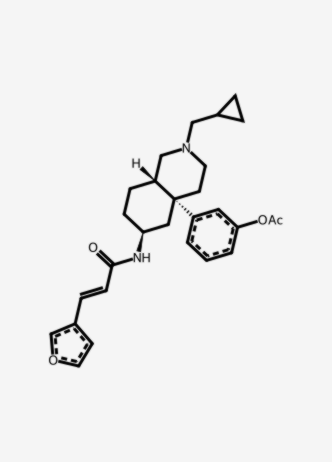 CC(=O)Oc1cccc([C@@]23CCN(CC4CC4)C[C@H]2CC[C@H](NC(=O)/C=C/c2ccoc2)C3)c1